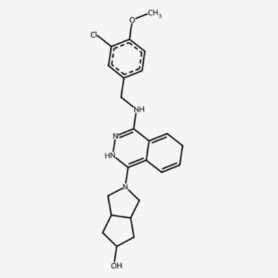 COc1ccc(CNC2=NNC(N3CC4CC(O)CC4C3)=C3C=CCC=C23)cc1Cl